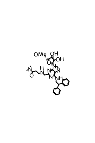 COC[C@H]1O[C@@H](n2cnc3c(NCC(c4ccccc4)c4ccccc4)nc(CNCCC(=O)N(C)C)nc32)[C@H](O)[C@@H]1O